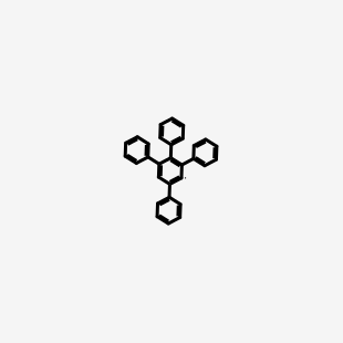 [c]1c(-c2ccccc2)cc(-c2ccccc2)c(-c2ccccc2)c1-c1ccccc1